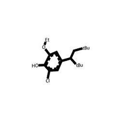 CCOc1cc(C(CC(C)(C)C)C(C)(C)C)cc(Cl)c1O